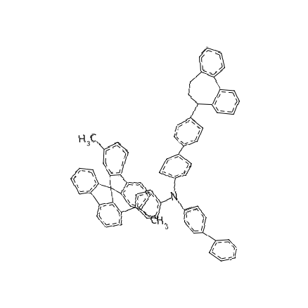 Cc1ccc2c(c1)C1(c3cc(C)ccc3-2)c2ccccc2-c2cccc(-c3ccc(N(c4ccc(-c5ccccc5)cc4)c4ccc(-c5ccc(C6CCc7ccccc7-c7ccccc76)cc5)cc4)cc3)c21